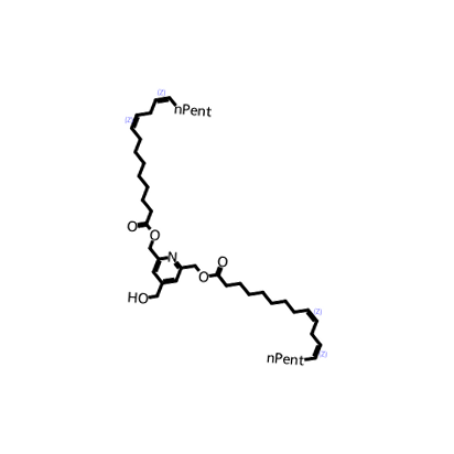 CCCCC/C=C\C/C=C\CCCCCCCC(=O)OCc1cc(CO)cc(COC(=O)CCCCCCC/C=C\C/C=C\CCCCC)n1